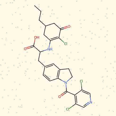 CCCC1CC(=O)C(Cl)=C(NC(Cc2ccc3c(c2)CCN3C(=O)c2c(Cl)cncc2Cl)C(=O)O)C1